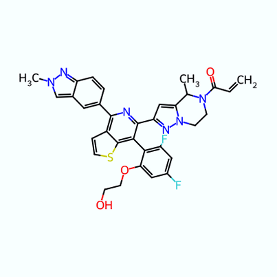 C=CC(=O)N1CCn2nc(-c3nc(-c4ccc5nn(C)cc5c4)c4ccsc4c3-c3c(F)cc(F)cc3OCCO)cc2C1C